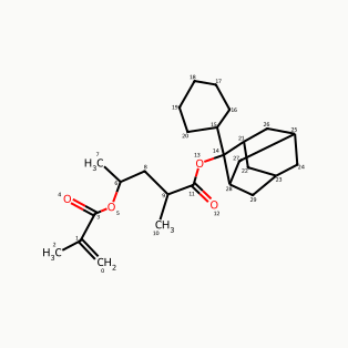 C=C(C)C(=O)OC(C)CC(C)C(=O)OC1(C2CCCCC2)C2CC3CC(C2)CC1C3